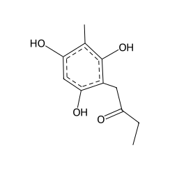 CCC(=O)Cc1c(O)cc(O)c(C)c1O